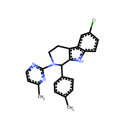 Cc1ccc(C2c3[nH]c4ccc(Cl)cc4c3CCN2c2nccc(C)n2)cc1